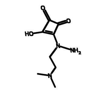 CN(C)CCN(N)c1c(O)c(=O)c1=O